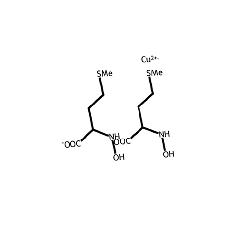 CSCCC(NO)C(=O)[O-].CSCCC(NO)C(=O)[O-].[Cu+2]